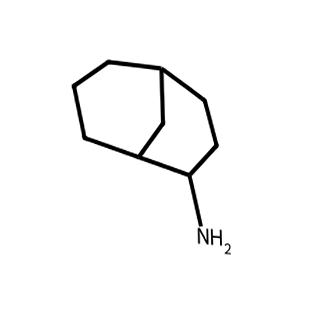 NC1CCC2CCCC1C2